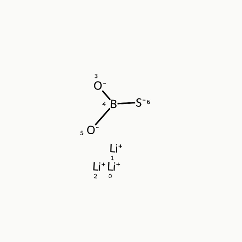 [Li+].[Li+].[Li+].[O-]B([O-])[S-]